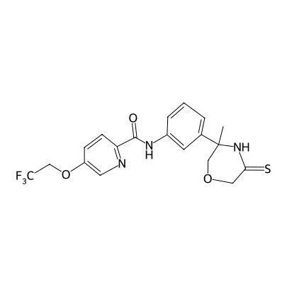 CC1(c2cccc(NC(=O)c3ccc(OCC(F)(F)F)cn3)c2)COCC(=S)N1